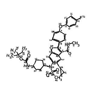 CNC(=O)c1c(-c2ccc(Oc3ccc(F)cc3)cc2)oc2cc(N(C3CCC(NC(=O)OC(C)(C)C)CC3)S(C)(=O)=O)c(C3CC3)cc12